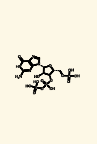 Nc1nc2c(ncn2[C@@H]2O[C@H](COP(=O)(O)O)[C@@H](OP(=O)(O)OP(=O)(O)O)[C@H]2O)c(=O)[nH]1